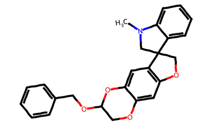 CN1CC2(COc3cc4c(cc32)OC(OCc2ccccc2)CO4)c2ccccc21